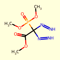 COC(=O)C(N=N)(N=N)P(=O)(OC)OC